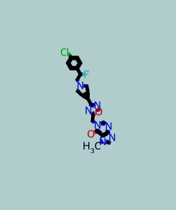 Cn1cnc2ncn(Cc3nc(C4C5CN(CC(F)c6ccc(Cl)cc6)CC54)no3)c(=O)c21